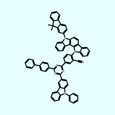 CC1(C)c2ccccc2-c2ccc(-n3c4ccccc4c4c3ccc3c5ccccc5n(-c5ccc(-c6nc(-c7ccc(-c8ccccc8)cc7)nc(-c7ccc8c(c7)c7ccccc7n8-c7ccccc7)n6)cc5C#N)c34)cc21